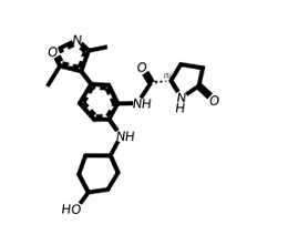 Cc1noc(C)c1-c1ccc(NC2CCC(O)CC2)c(NC(=O)[C@@H]2CCC(=O)N2)c1